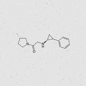 C[C@H]1CCN(C(=O)CN[C@H]2CC2c2ccccc2)C1